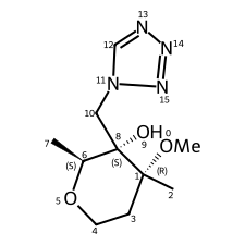 CO[C@]1(C)CCO[C@@H](C)[C@@]1(O)Cn1cnnn1